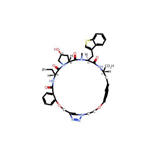 CC(C)C[C@H]1NC(=O)c2ccccc2OCc2cn(nn2)CCOc2ccc(cc2)C[C@@H](C(=O)O)NC(=O)[C@H](Cc2csc3ccccc23)N(C)C(=O)[C@H]2C[C@H](O)CN2C1=O